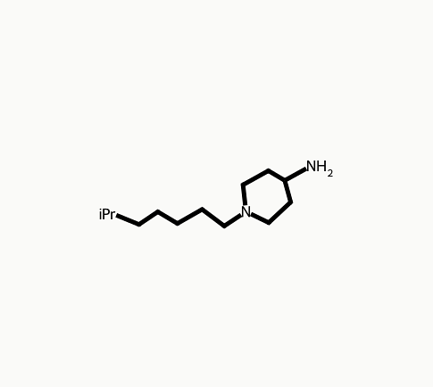 CC(C)CCCCCN1CCC(N)CC1